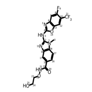 Cn1c(Nc2nc3cc(F)c(C(F)(F)F)cc3o2)nc2cc(C(=O)NOCCO)ccc21